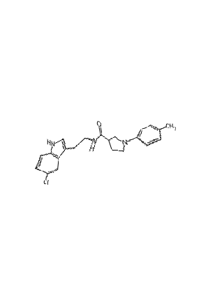 Cc1ccc(N2CCC(C(=O)NCCc3c[nH]c4ccc(Cl)cc34)C2)cc1